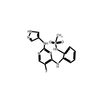 CS(=O)(=O)Nc1ccccc1Nc1nc(Nc2cn[nH]c2)ncc1F